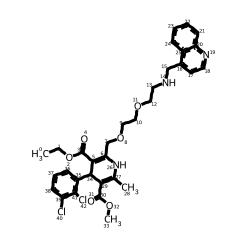 CCOC(=O)C1=C(COCCOCCNCc2ccnc3ccccc23)NC(C)=C(C(=O)OC)C1c1cccc(Cl)c1Cl